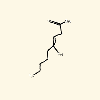 CCCCC/C(O)=C/CC(=O)O